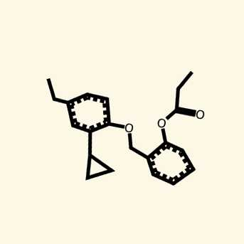 CCC(=O)Oc1ccccc1COc1ccc(CC)cc1C1CC1